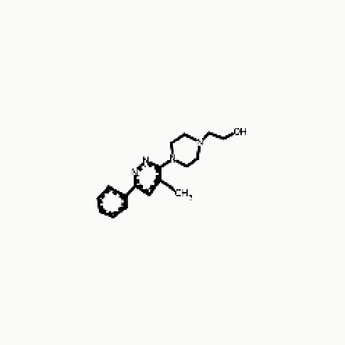 Cc1cc(-c2ccccc2)nnc1N1CCN(CCO)CC1